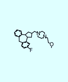 COCCN1CCN(CC2CC3c4ccccc4Cc4ccc(F)cc4C3C2)CC1